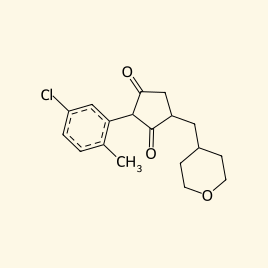 Cc1ccc(Cl)cc1C1C(=O)CC(CC2CCOCC2)C1=O